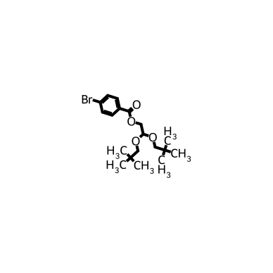 CC(C)(C)COC(COC(=O)c1ccc(Br)cc1)OCC(C)(C)C